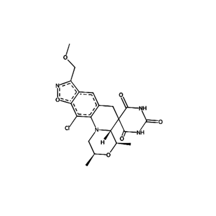 COCc1noc2c(Cl)c3c(cc12)CC1(C(=O)NC(=O)NC1=O)[C@@H]1[C@@H](C)O[C@@H](C)CN31